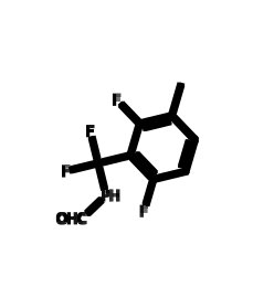 Cc1ccc(F)c(C(F)(F)PC=O)c1F